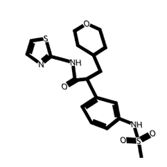 CS(=O)(=O)Nc1cccc(C(CC2CCOCC2)C(=O)Nc2nccs2)c1